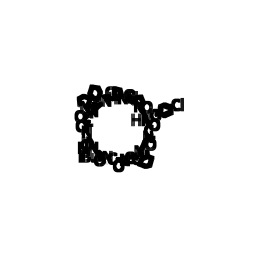 CC[C@H](C)[C@@H]1NC(=O)[C@H](C)N(C)C(=O)C[C@@H](C(=O)N2CCCCC2)N(C)C(=O)[C@H](C2CCCCC2)N(C)C(=O)C2(CCCC2)NC(=O)[C@@H]2CCCN2C(=O)[C@H](COc2ccc(Cl)cc2)NC(=O)CN(C)C(=O)[C@H](CC2CCCCC2)N(C)C(=O)CN(C)C(=O)CN(C)C1=O